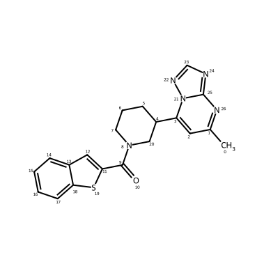 Cc1cc(C2CCCN(C(=O)c3cc4ccccc4s3)C2)n2ncnc2n1